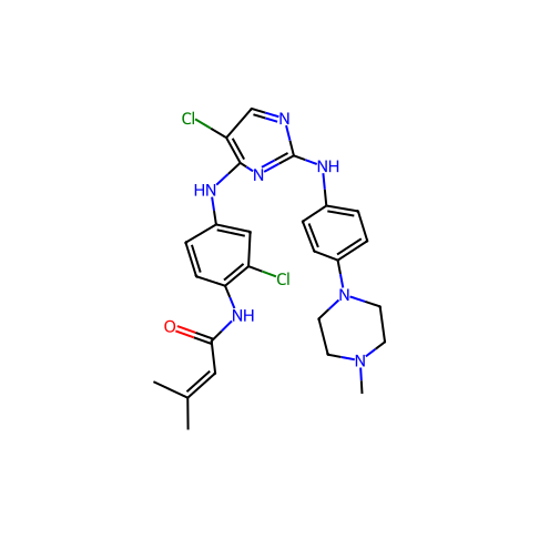 CC(C)=CC(=O)Nc1ccc(Nc2nc(Nc3ccc(N4CCN(C)CC4)cc3)ncc2Cl)cc1Cl